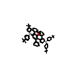 CC(C)(C)c1ccc(N(c2ccc(C(C)(C)C)cc2)c2ccc(-c3c(-c4ccccc4)cc(N(c4ccc(C(C)(C)C)cc4)c4ccc(C(C)(C)C)cc4)c4c3C(C)(C)c3ccccc3-4)c(-c3ccccc3)c2)cc1